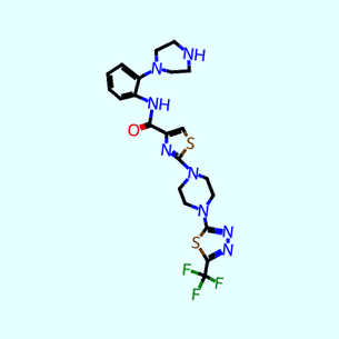 O=C(Nc1ccccc1N1CCNCC1)c1csc(N2CCN(c3nnc(C(F)(F)F)s3)CC2)n1